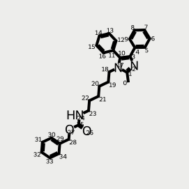 Cc1nc(-c2ccccc2)c(-c2ccccc2)n1CCCCCCNC(=O)OCc1ccccc1